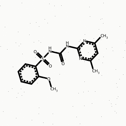 COc1ccccc1S(=O)(=O)NC(=O)Nc1nc(C)cc(C)n1